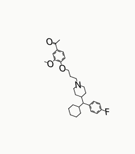 COc1cc(C(C)=O)ccc1OCCCN1CCC(C(c2ccc(F)cc2)C2CCCCC2)CC1